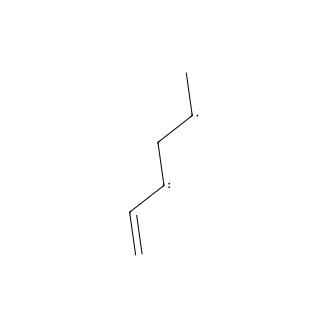 C=C[C]C[CH]C